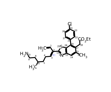 C=C/C(=C\CCC(C)CCN)c1nc2cc(C)c(CC(=O)OCC)c(-c3ccc(Cl)cc3)c2s1